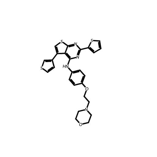 c1csc(-c2nc(Nc3ccc(OCCN4CCOCC4)cc3)c3c(-c4ccsc4)csc3n2)c1